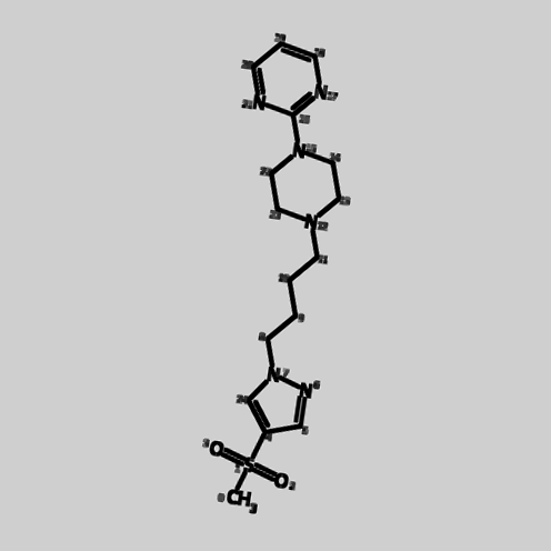 CS(=O)(=O)c1cnn(CCCCN2CCN(c3ncccn3)CC2)c1